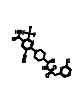 N#Cc1cc(C(=O)O)c(C(F)(F)F)nc1N1CCC(C(=O)NS(=O)(=O)Cc2cccc(Cl)c2)CC1